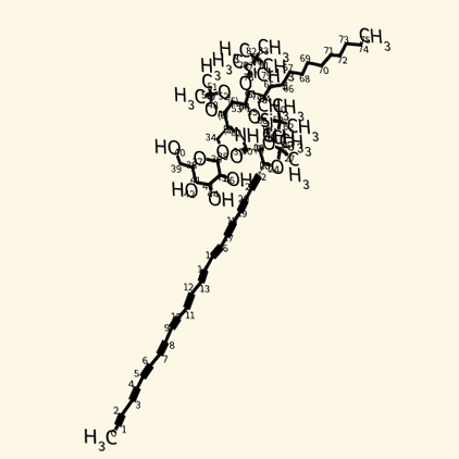 CC#CC#CC#CC#CC#CC#CC#CC#CC#CC#CC#C[C@H]1OC(C)(C)O[C@H]1C(=O)N[C@@H](COC1OC(CO)C(O)C(O)C1O)[C@@H]1OC(C)(C)O[C@@H]1[C@@H](O[Si](C)(C)C(C)(C)C)[C@H](CCCCCCCCCCCC)O[Si](C)(C)C(C)(C)C